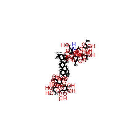 CC[C@@H]1O[C@@H](OCC(=O)N[C@H]2C(CO)O[C@@H](OC(=O)[C@]34CCC(C)(C)CC3C3=CCC5C6(C)CC[C@H](O[C@@H]7OC(C(=O)O)[C@@H](O)[C@H](O[C@@H]8OC[C@@H](O)[C@H](O)C8O)C7O[C@@H]7OC(CO)[C@H](O)[C@H](O)C7O)[C@](C)(CO)[C@@H]6CC[C@]5(C)[C@]3(C)CC4O)C(O[C@@H]3OC(C)[C@H](O[C@@H]4OC[C@@H](O)C(O)C4O)C(O)C3O)C2O)C(O)C1O